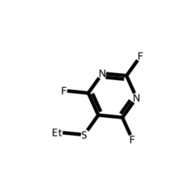 CCSc1c(F)nc(F)nc1F